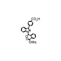 COC(=O)c1ccccc1C(=O)n1nc(-c2ccc(C(=O)O)cc2)c2ccccc21